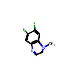 CN1CC=Nc2cc(F)c(F)cc21